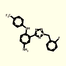 Nc1ccc(Nc2ccc(C(F)(F)F)cc2)c(-c2nnn(Cc3ccccc3F)n2)c1